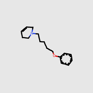 C1=CCN(CCCCCOc2ccccc2)CC1